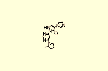 CC1CCCN1c1cc(-n2[nH]cc(-n3ccnc3)c2=O)ncn1